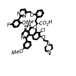 COc1cccc(-c2ncc3snc(O[C@H](Cc4ccccc4OCc4ccnc(-c5cc(F)ccc5OC)n4)C(=O)O)c3c2C2=C(C)C(Cl)=C(OCCN3CCN(C)CC3)CC2)c1